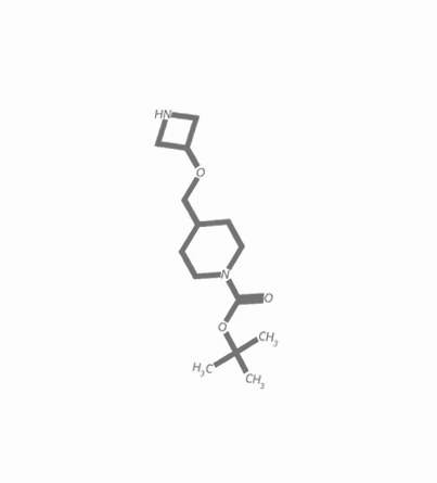 CC(C)(C)OC(=O)N1CCC(COC2CNC2)CC1